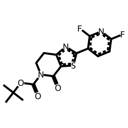 CC(C)(C)OC(=O)N1CCc2nc(-c3ccc(F)nc3F)sc2C1=O